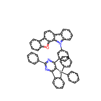 c1ccc(-c2nc(-c3cccc(-n4c5ccccc5c5ccc6c7ccccc7oc6c54)c3)c3c(n2)-c2ccccc2[Si]3(c2ccccc2)c2ccccc2)cc1